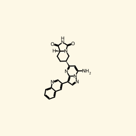 Nc1cc([C@H]2CC[C@@H]3C(=O)NC(=O)N3C2)nc2c(-c3cnc4ccccc4c3)cnn12